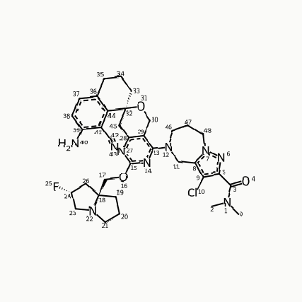 CN(C)C(=O)c1nn2c(c1Cl)CN(c1nc(OC[C@@]34CCCN3C[C@H](F)C4)nc3c1CO[C@@]1(CCCc4ccc(N)c(C#N)c41)C3)CCC2